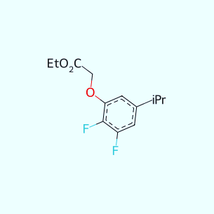 CCOC(=O)COc1cc(C(C)C)cc(F)c1F